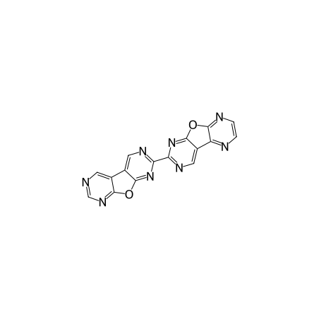 c1ncc2c(n1)oc1nc(-c3ncc4c(n3)oc3nccnc34)ncc12